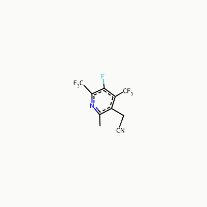 Cc1nc(C(F)(F)F)c(F)c(C(F)(F)F)c1CC#N